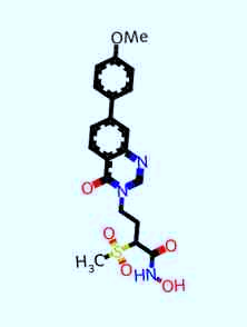 COc1ccc(-c2ccc3c(=O)n(CCC(C(=O)NO)S(C)(=O)=O)cnc3c2)cc1